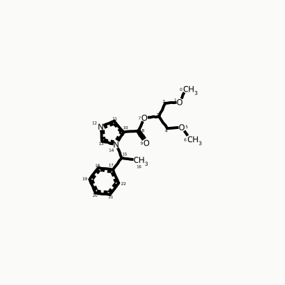 COCC(COC)OC(=O)c1cncn1C(C)c1ccccc1